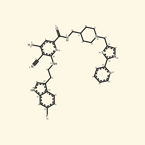 N#Cc1c(N)cc(C(=O)NCC2CCN(Cc3cnc(-c4ccccn4)s3)CC2)nc1NCCc1c[nH]c2cc(F)ccc12